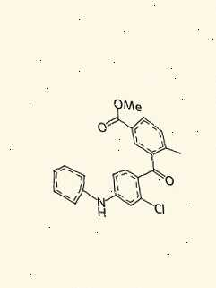 COC(=O)c1ccc(C)c(C(=O)c2ccc(Nc3ccccc3)cc2Cl)c1